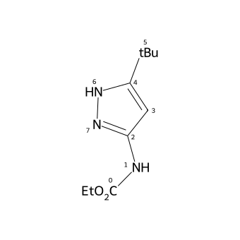 CCOC(=O)Nc1cc(C(C)(C)C)[nH]n1